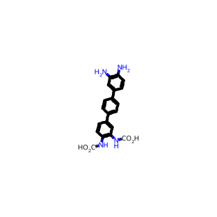 Nc1ccc(-c2ccc(-c3ccc(NC(=O)O)c(NC(=O)O)c3)cc2)cc1N